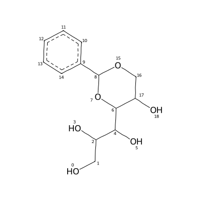 OCC(O)C(O)C1OC(c2ccccc2)OCC1O